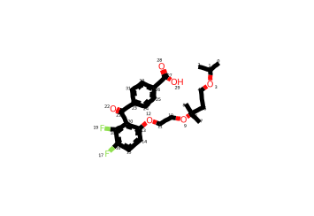 CC(C)OCCC(C)(C)OCCOc1ccc(F)c(F)c1C(=O)c1ccc(C(=O)O)cc1